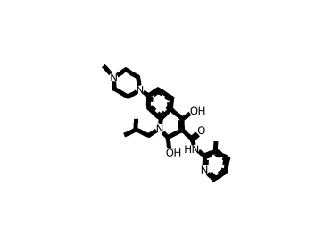 Cc1cccnc1NC(=O)C1=C(O)c2ccc(N3CCN(C)CC3)cc2N(CC(C)C)C1O